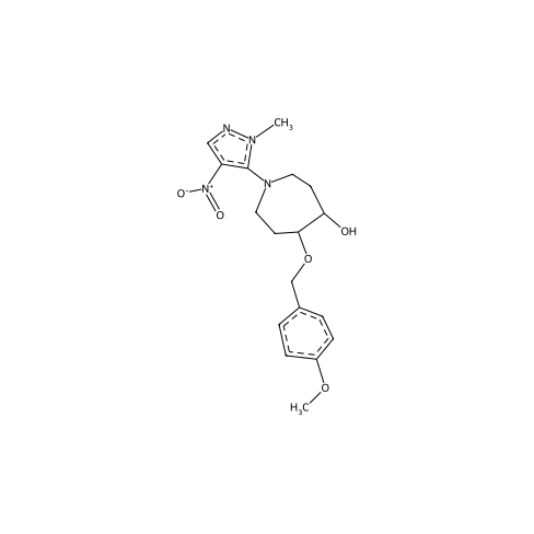 COc1ccc(COC2CCN(c3c([N+](=O)[O-])cnn3C)CCC2O)cc1